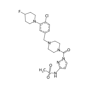 CS(=O)(=O)Nc1ccn(C(=O)N2CCN(Cc3ccc(Cl)c(N4CCC(F)CC4)c3)CC2)n1